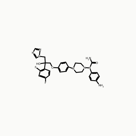 NC(=O)N(c1ccc(N)cc1)N1CCN(c2ccc(OCC(O)(Cn3cncn3)c3ccc(F)cc3F)cc2)CC1